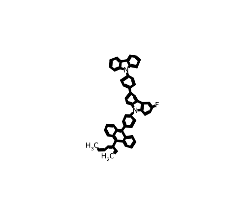 C=C/C(=C\C=C/C)c1c2ccccc2c(-c2ccc(-n3c4ccc(F)cc4c4cc(-c5ccc(-n6c7ccccc7c7ccccc76)cc5)ccc43)cc2)c2ccccc12